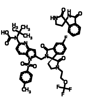 Cc1ccc(S(=O)(=O)n2c(CN3C(=O)c4cc(F)ccc4[C@]34CCN(CCOC(F)(F)F)C4=O)cc3nc(N(C(=O)O)C(C)(C)C)ccc32)cc1.O=C1NC2(CCNC2=O)c2ccccc21